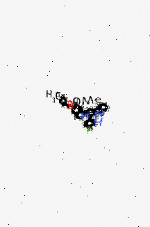 COc1cc2c(cc1OCc1ccc(C)cc1)CCN1C2Cc2c([nH]c3ccccc23)C1c1ccc(F)cc1